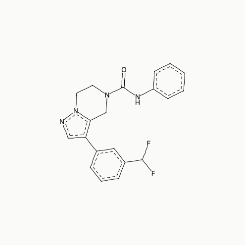 O=C(Nc1ccccc1)N1CCn2ncc(-c3cccc(C(F)F)c3)c2C1